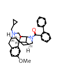 COc1ccc2c(c1)[C@]13CCN(CC4CC4)[C@H](C2)[C@]12CCC1C3[C@@H](CN1C(=O)c1ccccc1-c1ccccc1)C2